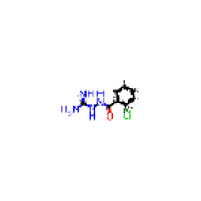 N=C(N)NNC(=O)c1ccccc1Cl